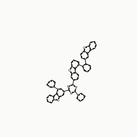 c1ccc(-c2nc(-c3ccc4c(c3)oc3cccc(-c5ccccc5-c5ccc6oc7ccccc7c6c5)c34)nc(-c3cc(-c4ccccc4)c4c(c3)oc3ccccc34)n2)cc1